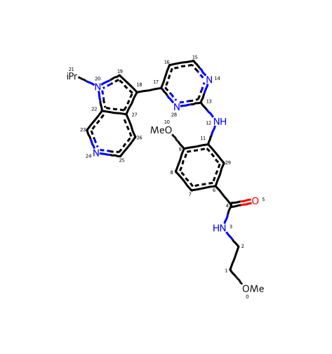 COCCNC(=O)c1ccc(OC)c(Nc2nccc(-c3cn(C(C)C)c4cnccc34)n2)c1